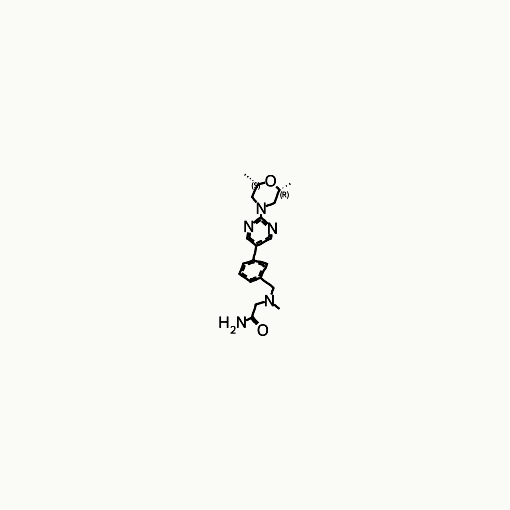 C[C@@H]1CN(c2ncc(-c3cccc(CN(C)CC(N)=O)c3)cn2)C[C@H](C)O1